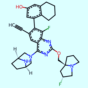 C#Cc1cc2c(N3C[C@H]4CC[C@@H](C3)N4)nc(OC[C@@]34CCCN3C[C@H](F)C4)nc2c(F)c1-c1cc(O)cc2c1CCCC2